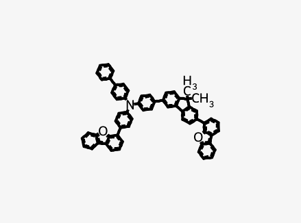 CC1(C)c2ccc(-c3ccc(N(c4ccc(-c5ccccc5)cc4)c4ccc(-c5cccc6c5oc5ccccc56)cc4)cc3)cc2-c2ccc(-c3cccc4c3oc3ccccc34)cc21